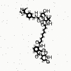 Cc1ncsc1-c1ccc(CNC(=O)[C@@H]2C[C@@H](O)CN2C(=O)[C@@H](NC(=O)CCCCCCCC(=O)Nc2cccc3c2C(=O)N(C2CCC(=O)NC2=O)C3=O)C(C)(C)C)cc1